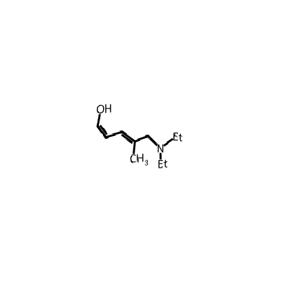 CCN(CC)C/C(C)=C/C=C\O